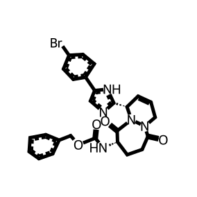 O=C(N[C@H]1CCC(=O)N2CC=C[C@@H](c3ncc(-c4ccc(Br)cc4)[nH]3)N2C1=O)OCc1ccccc1